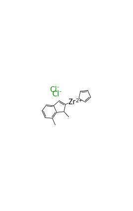 Cc1cccc2c1C(C)[C]([Zr+2][CH]1C=CC=C1)=C2.[Cl-].[Cl-]